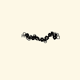 CC1(C)c2ccc(C3CCN(C(=O)C45CCC(CN6CCC7(CC6)COc6c7ccc7c6CN([C@H]6CCC(=O)NC6=O)C7=O)(CC4)C5)CC3)cc2-n2c1nc(=O)c1c(Cl)cccc12